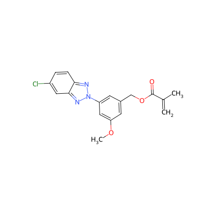 C=C(C)C(=O)OCc1cc(OC)cc(-n2nc3ccc(Cl)cc3n2)c1